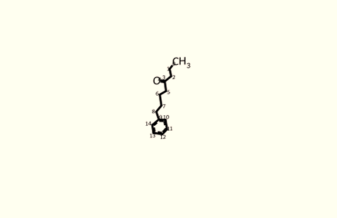 CCCC(=O)CCCCc1ccccc1